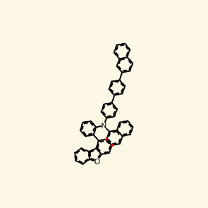 c1ccc(N(c2ccc(-c3ccc(-c4ccc5ccccc5c4)cc3)cc2)c2cccc3ccccc23)c(-c2cccc3oc4ccccc4c23)c1